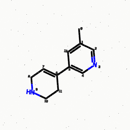 Cc1cncc(C2=CCNCC2)c1